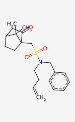 C=CCCN(Cc1ccccc1)S(=O)(=O)CC12CCC(CC1=O)C2(C)C